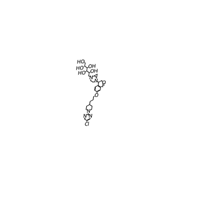 O=CC(c1ccc(OCCCC2CCN(c3ncc(Cl)cn3)CC2)cc1F)N1CCN(C[C@H](O)[C@@H](O)[C@H](O)[C@H](O)CO)C2CC21